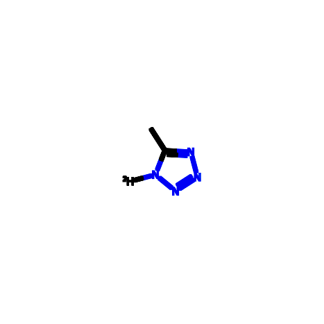 [2H]n1nnnc1C